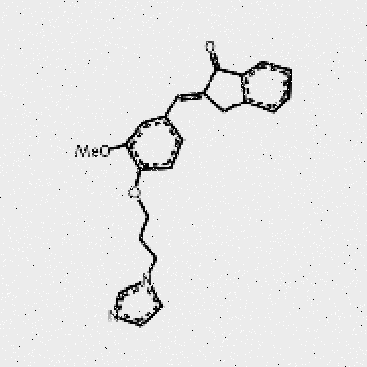 COc1cc(/C=C2\Cc3ccccc3C2=O)ccc1OCCCn1ccnc1